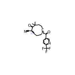 CC1(C)CCCN(C(=O)c2ccc(C(F)(F)F)nc2)CC/C=C(/C#N)C1=O